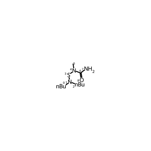 CCCCN(CCCC)SN(C)C(N)=O